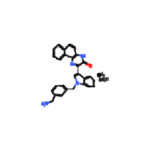 CC(=O)O.NCc1cccc(Cn2cc(-c3nc4c(ccc5ccccc54)[nH]c3=O)c3ccccc32)c1